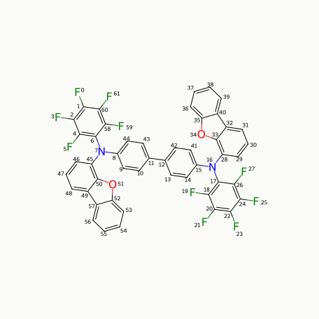 Fc1c(F)c(F)c(N(c2ccc(-c3ccc(N(c4c(F)c(F)c(F)c(F)c4F)c4cccc5c4oc4ccccc45)cc3)cc2)c2cccc3c2oc2ccccc23)c(F)c1F